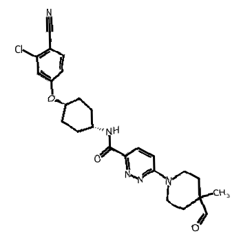 CC1(C=O)CCN(c2ccc(C(=O)N[C@H]3CC[C@H](Oc4ccc(C#N)c(Cl)c4)CC3)nn2)CC1